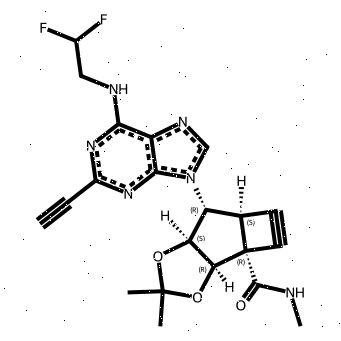 C#Cc1nc(NCC(F)F)c2ncn([C@H]3[C@@H]4OC(C)(C)O[C@@H]4[C@]4(C(=O)NC)C#C[C@H]34)c2n1